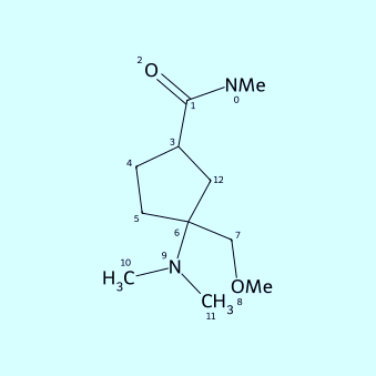 CNC(=O)C1CCC(COC)(N(C)C)C1